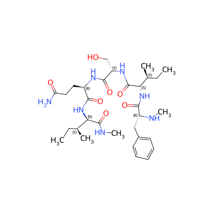 CC[C@H](C)[C@H](NC(=O)[C@@H](Cc1ccccc1)NC)C(=O)N[C@@H](CO)C(=O)N[C@H](CCC(N)=O)C(=O)N[C@@H](C(=O)NC)[C@@H](C)CC